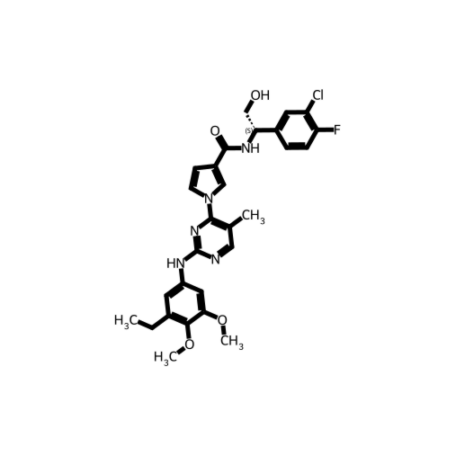 CCc1cc(Nc2ncc(C)c(-n3ccc(C(=O)N[C@H](CO)c4ccc(F)c(Cl)c4)c3)n2)cc(OC)c1OC